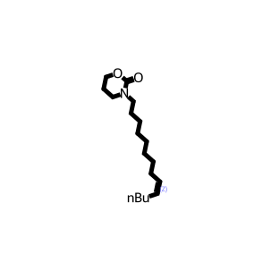 CCCC/C=C\CCCCCCCCN1CCCOC1=O